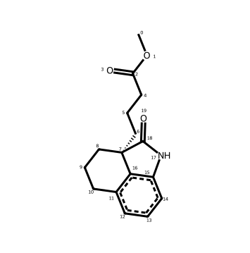 COC(=O)CCC[C@@]12CCCc3cccc(c31)NC2=O